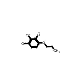 CCCOc1ccc(Cl)c(Cl)c1Cl